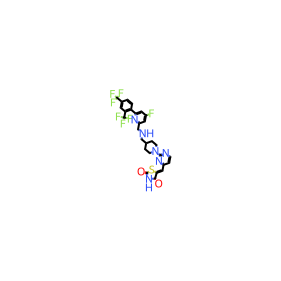 O=C1NC(=O)C(=Cc2ccnc(N3CCC(CNCc4cc(F)cc(-c5ccc(C(F)(F)F)cc5C(F)(F)F)n4)CC3)n2)S1